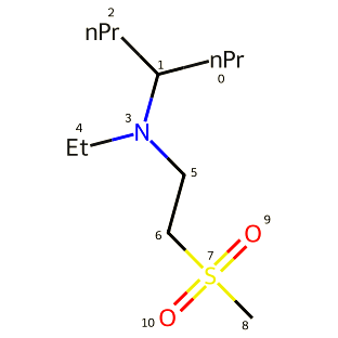 CCCC(CCC)N(CC)CCS(C)(=O)=O